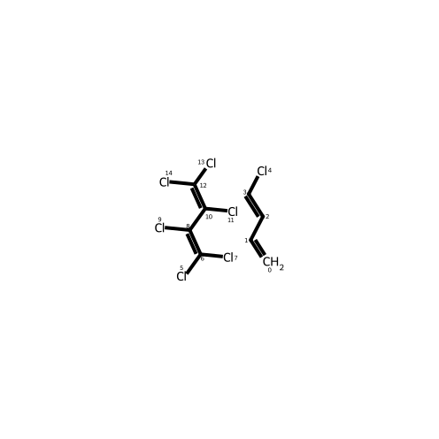 C=CC=CCl.ClC(Cl)=C(Cl)C(Cl)=C(Cl)Cl